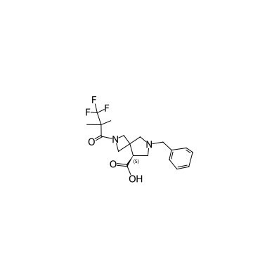 CC(C)(C(=O)N1CC2(CN(Cc3ccccc3)C[C@H]2C(=O)O)C1)C(F)(F)F